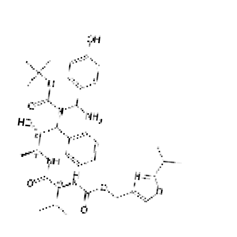 CC(C)c1nc(COC(=O)N[C@H](C(=O)N[C@@H](C)[C@H](O)C(c2ccccc2)N(C(=O)OC(C)(C)C)C(N)c2ccc(O)cc2)C(C)C)co1